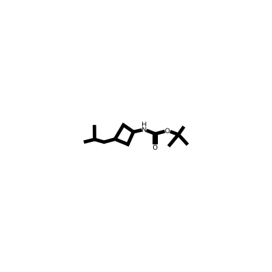 CC(C)CC1CC(NC(=O)OC(C)(C)C)C1